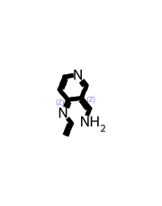 C=C/N=C1/C=CN=C/C1=C/N